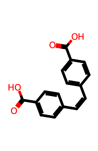 O=C(O)c1ccc(/C=C\c2ccc(C(=O)O)cc2)cc1